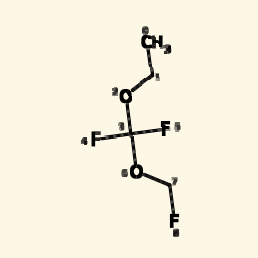 CCOC(F)(F)OCF